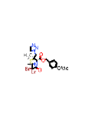 COc1ccc(COC(=O)[C@@H]2N3C(=O)C(Br)(Br)[C@H]3S[C@@]2(C)Cn2ccnn2)cc1